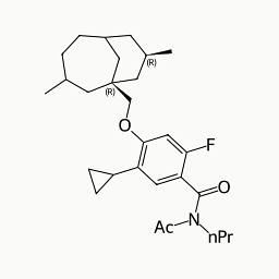 CCCN(C(C)=O)C(=O)c1cc(C2CC2)c(OC[C@]23CC(C)CCC(C[C@@H](C)C2)C3)cc1F